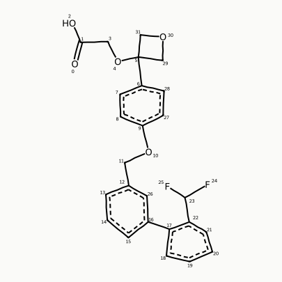 O=C(O)COC1(c2ccc(OCc3cccc(-c4ccccc4C(F)F)c3)cc2)COC1